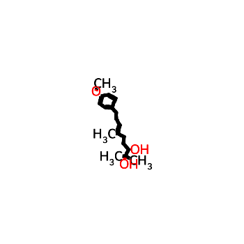 COc1ccc(CC/C=C(\C)CC[C@H](O)C(C)(C)O)cc1